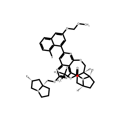 COCOc1cc(-c2cc3nc(OC[C@]45CCCN4C[C@H](F)C5)nc4c3c(n2)OC[C@H]2[C@H]3CC[C@@H](CN42)N3C(=O)OC(C)(C)C)c2c(F)cccc2c1